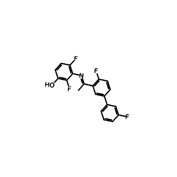 C/C(=N\c1c(F)ccc(O)c1F)c1cc(-c2cccc(F)c2)ccc1F